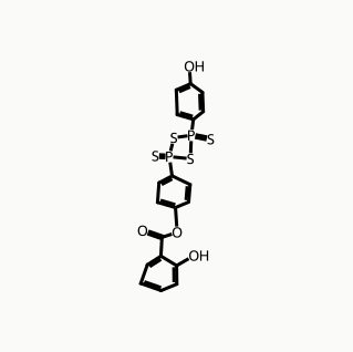 O=C(Oc1ccc(P2(=S)SP(=S)(c3ccc(O)cc3)S2)cc1)c1ccccc1O